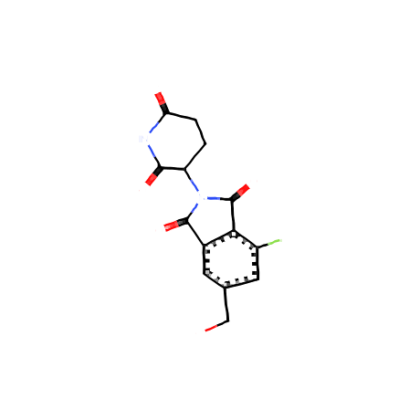 O=C1CCC(N2C(=O)c3cc(CO)cc(F)c3C2=O)C(=O)N1